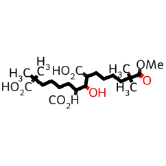 COC(=O)C(C)(C)CCCCC(C(=O)O)C(O)C(CCCCC(C)(C)C(=O)O)C(=O)O